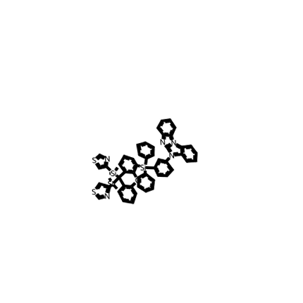 C[Si](C)(c1cscn1)C1([Si](C)(C)c2cscn2)c2ccccc2Oc2c1cccc2[Si](c1ccccc1)(c1ccccc1)c1cccc(-n2c3ccccc3n3c4ccccc4nc23)c1